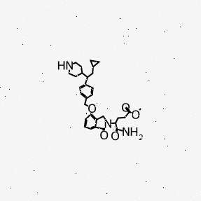 COC(=O)CCC(C(N)=O)N1Cc2c(OCc3ccc(C(CC4CC4)C4CCNCC4)cc3)cccc2C1=O